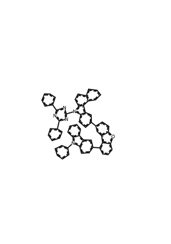 c1ccc(-c2nc(-c3ccccc3)nc(-n3c4ccc(-c5ccc6oc7cccc(-c8ccc9c(c8)c8ccccc8n9-c8ccccc8)c7c6c5)cc4c4c5ccccc5ccc43)n2)cc1